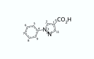 O=C(O)c1[c]n(-c2ccccc2)nc1